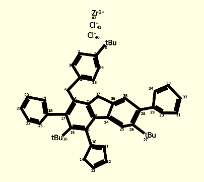 CC(C)(C)c1ccc(Cc2c3c(c(C4=CC=CC4)c(C(C)(C)C)c2-c2ccccc2)-c2cc(C(C)(C)C)c(-c4ccccc4)cc2C3)cc1.[Cl-].[Cl-].[Zr+2]